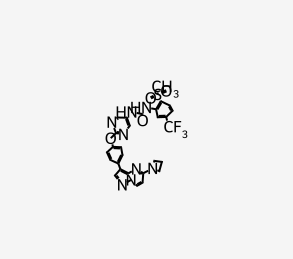 CS(=O)(=O)c1ccc(C(F)(F)F)cc1NC(=O)Nc1cnc(Oc2ccc(-c3cnn4ccc(N5CCC5)nc34)cc2)nc1